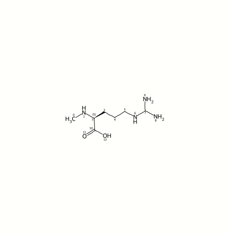 CN[C@@H](CCCNC(N)N)C(=O)O